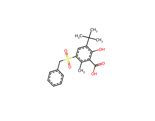 Cc1c(S(=O)(=O)Cc2ccccc2)cc(C(C)(C)C)c(O)c1C(=O)O